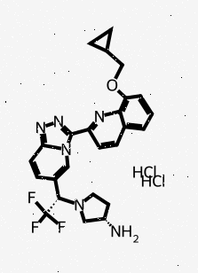 Cl.Cl.N[C@H]1CCN([C@@H](c2ccc3nnc(-c4ccc5cccc(OCC6CC6)c5n4)n3c2)C(F)(F)F)C1